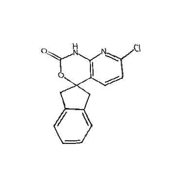 O=C1Nc2nc(Cl)ccc2C2(Cc3ccccc3C2)O1